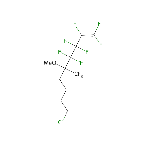 COC(CCCCCl)(C(F)(F)F)C(F)(F)C(F)(F)C(F)=C(F)F